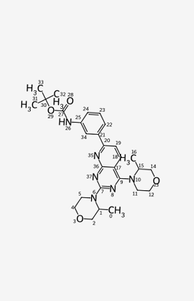 CC1COCCN1c1nc(N2CCOCC2C)c2ccc(-c3cccc(NC(=O)OC(C)(C)C)c3)nc2n1